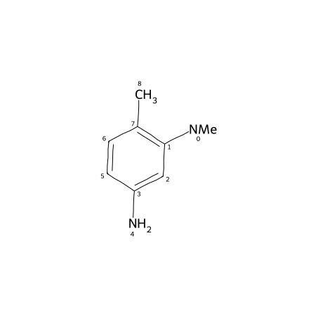 CNc1cc(N)ccc1C